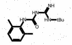 Cc1cccc(C)c1NC(=O)NC(=N)NC(C)(C)C